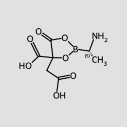 C[C@@H](N)B1OC(=O)C(CC(=O)O)(C(=O)O)O1